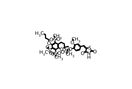 CCCCOc1c(S(C)(=O)=O)c2c(c(S(C)(=O)=O)c1S(C)(=O)=O)OC(COc1ccc(C=C3SC(=O)NC3=O)cc1OC)(S(C)(=O)=O)CC2